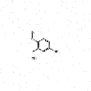 CCOc1ccc(N)cc1CO